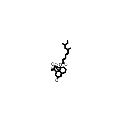 C=C(C=O)C1CC(=O)C=C2CCCC(OC(=O)C=CC=CC(C)CC(C)CC)(C(=O)O)C21C